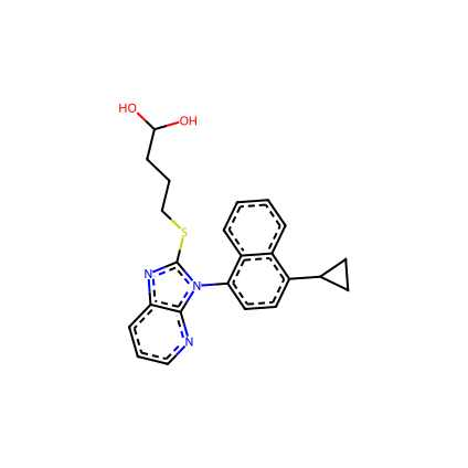 OC(O)CCCSc1nc2cccnc2n1-c1ccc(C2CC2)c2ccccc12